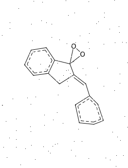 C(=C1Cc2ccccc2C12OO2)c1ccccc1